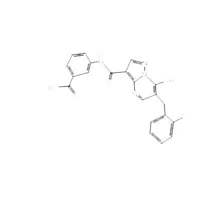 O=C(O)c1cccc(NC(=O)c2cnn3c(O)c(Cc4ccccc4F)cnc23)c1